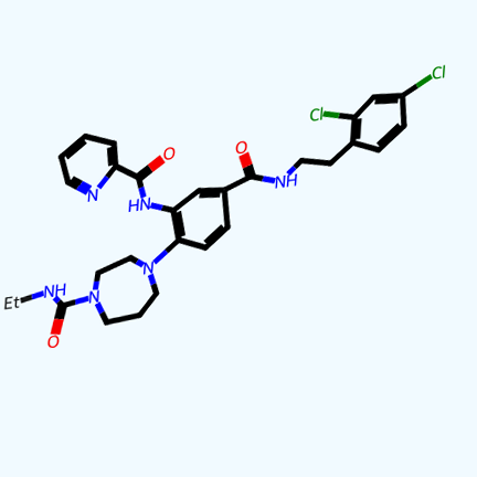 CCNC(=O)N1CCCN(c2ccc(C(=O)NCCc3ccc(Cl)cc3Cl)cc2NC(=O)c2ccccn2)CC1